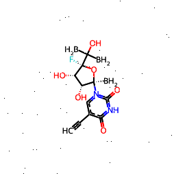 BC(B)(O)[C@@]1(F)O[C@@](B)(n2cc(C#C)c(=O)[nH]c2=O)[C@H](O)[C@@H]1O